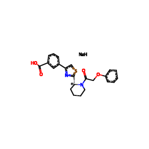 O=C(O)c1cccc(-c2csc([C@H]3CCCCN3C(=O)COc3ccccc3)n2)c1.[NaH]